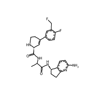 CC(NC(=O)[C@@H]1C=C(c2ccc(F)c(CF)c2)CCN1)C(=O)N[C@@H]1CCc2nc(N)ccc21